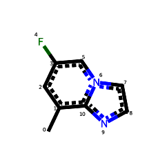 Cc1cc(F)cn2c[c]nc12